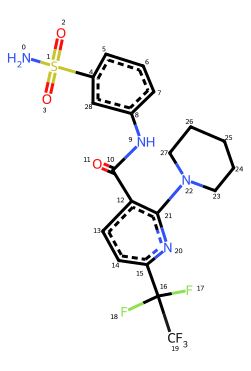 NS(=O)(=O)c1cccc(NC(=O)c2ccc(C(F)(F)C(F)(F)F)nc2N2CCCCC2)c1